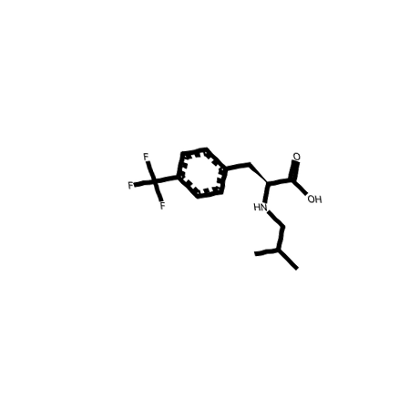 CC(C)CN[C@@H](Cc1ccc(C(F)(F)F)cc1)C(=O)O